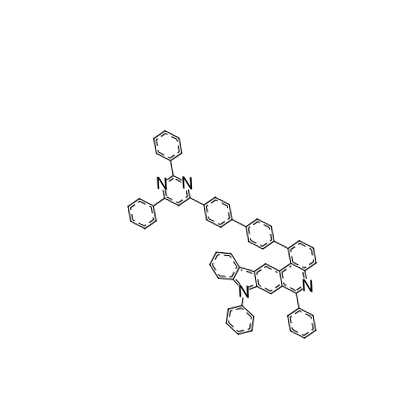 c1ccc(-c2cc(-c3ccc(-c4ccc(-c5cccc6nc(-c7ccccc7)c7cc8c(cc7c56)c5ccccc5n8-c5ccccc5)cc4)cc3)nc(-c3ccccc3)n2)cc1